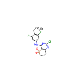 CCOC(=O)Cc1c(F)cc(Nc2nc(Cl)nc3c2S(=O)(=O)CCC3)cc1F